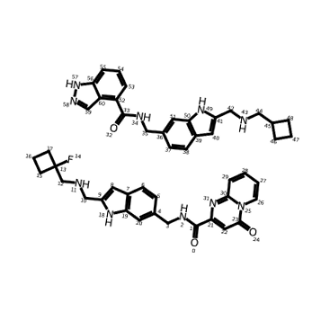 O=C(NCc1ccc2cc(CNCC3(F)CCC3)[nH]c2c1)c1cc(=O)n2ccccc2n1.O=C(NCc1ccc2cc(CNCC3CCC3)[nH]c2c1)c1cccc2[nH]ncc12